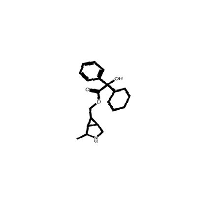 CC1NCC2C(COC(=O)C(O)(c3ccccc3)C3CCCCC3)C12